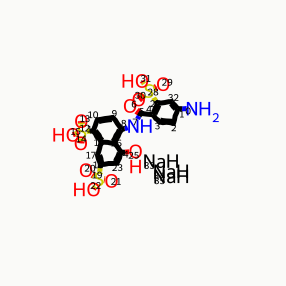 Nc1ccc(C(=O)Nc2ccc(S(=O)(=O)O)c3cc(S(=O)(=O)O)cc(O)c23)c(S(=O)(=O)O)c1.[NaH].[NaH].[NaH]